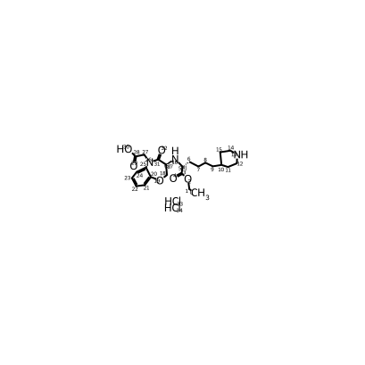 CCOC(=O)[C@@H](CCCCC1CCNCC1)N[C@H]1COc2ccccc2N(CC(=O)O)C1=O.Cl.Cl